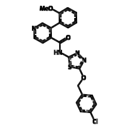 COc1ccccc1-c1cnccc1C(=O)Nc1nnc(OCc2ccc(Cl)cc2)s1